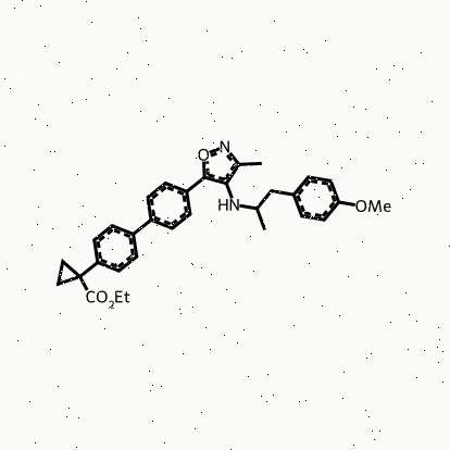 CCOC(=O)C1(c2ccc(-c3ccc(-c4onc(C)c4NC(C)Cc4ccc(OC)cc4)cc3)cc2)CC1